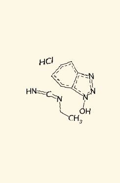 CCN=C=N.Cl.On1nnc2ccccc21